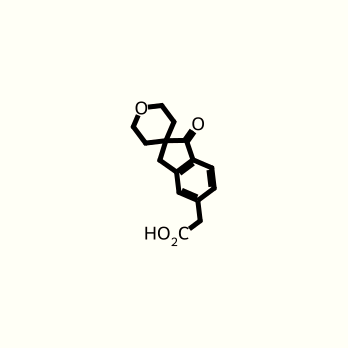 O=C(O)Cc1ccc2c(c1)CC1(CCOCC1)C2=O